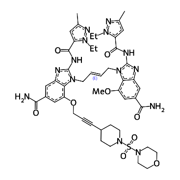 CCn1nc(C)cc1C(=O)Nc1nc2cc(C(N)=O)cc(OC)c2n1C/C=C/Cn1c(NC(=O)c2cc(C)nn2CC)nc2cc(C(N)=O)cc(OCC#CC3CCN(S(=O)(=O)N4CCOCC4)CC3)c21